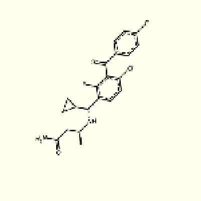 C[C@@H](CC(N)=O)N[C@@H](c1ccc(Cl)c(C(=O)c2ccc(F)cc2)c1F)C1CC1